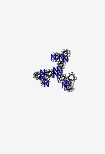 C1=CCC=CC(n2c(-c3ccc(-c4nc(-c5ccc(-c6nc7ccccc7n6-c6ccncc6)cc5)nc(-c5ccc(-c6nc7ccccc7n6-c6ccncc6)cc5)n4)cc3)nc3ccccc32)=C1